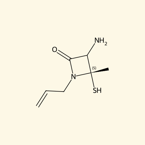 C=CCN1C(=O)C(N)[C@]1(C)S